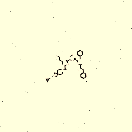 CC(C)C[C@@H](NC(=O)[C@@H](Cc1ccccc1)NC(=O)[C@H](N)Cc1ccccc1)C(=O)N[C@H](CCCCN)C(=O)N1CCC2(CC1)CN(S(=O)(=O)C1CC1)C2